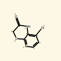 CCc1ccnc2c1NC(=O)CO2